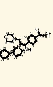 NNC(=O)c1ccc(C2=C(CN3CCOCC3)N3C=C(c4ccccc4)C=CC3N2)cc1